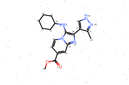 COC(=O)c1ccn2c(NC3CCCCC3)c(-c3c[nH]nc3C)nc2c1